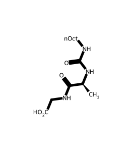 CCCCCCCCNC(=O)N[C@@H](C)C(=O)NCC(=O)O